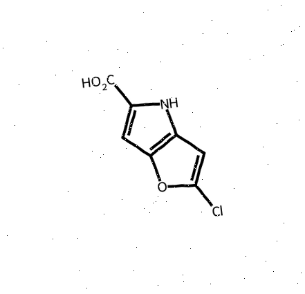 O=C(O)c1cc2oc(Cl)cc2[nH]1